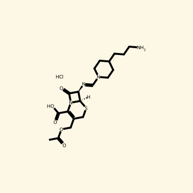 CC(=O)OCC1=C(C(=O)O)N2C(=O)[C@@H](N=CN3CCC(CCCN)CC3)[C@H]2SC1.Cl